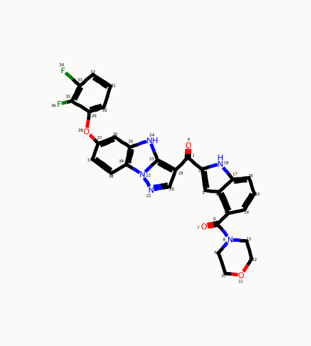 O=C(c1cc2c(C(=O)N3CCOCC3)cccc2[nH]1)c1cnn2c1[nH]c1cc(Oc3cccc(F)c3F)ccc12